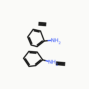 C#C.C#C.Nc1ccccc1.Nc1ccccc1